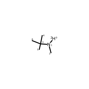 [2H]N(C)C(C)(C)C